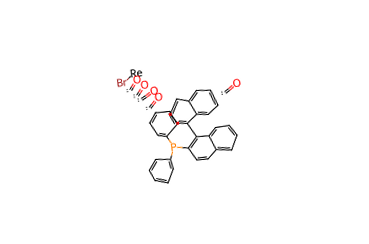 [Br][Re].[C]=O.[C]=O.[C]=O.[C]=O.[C]=O.c1ccc(P(c2ccccc2)c2ccc3ccccc3c2-c2cccc3ccccc23)cc1